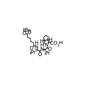 CC(C)[C@H](NC(=O)CCCCC(=O)OC(C)(C)C)C(=O)N[C@H](C(=O)N1C[C@@H]2CCC[C@@H]2[C@H]1C(=O)O)C(C)C